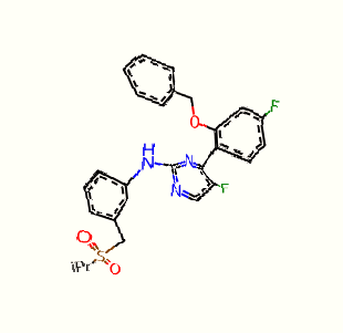 CC(C)S(=O)(=O)Cc1cccc(Nc2ncc(F)c(-c3ccc(F)cc3OCc3ccccc3)n2)c1